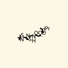 CC(C)[C@H](C)C(=O)O[C@H](C)CC(=O)NCc1nc(C2=NC(C)(C)CS2)cs1